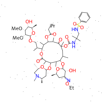 CCON=C1C[C@@H](C)O[C@@H](OC2C(C)CC(C)(OC(=O)NC(C)(C)CNS(=O)(=O)c3ccccc3)C(=O)C(C)C(OC(=O)CC(C)C)C(C)C(C(C)CO[C@@H]3O[C@H](C)[C@@H](O)[C@@H](OC)[C@H]3OC)OC(=O)C(C)C(O[C@H]3C[C@@H](C)N(C)C[C@H](C)O3)C2C)[C@@H]1O